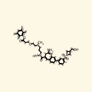 CCCN(CCCN(C)CCOCCC(=O)Oc1c(F)c(F)cc(F)c1F)C(=O)C1=Cc2ccc(-c3cccc(S(=O)(=O)N4CC(CO)C4)c3)cc2N=C(N)C1